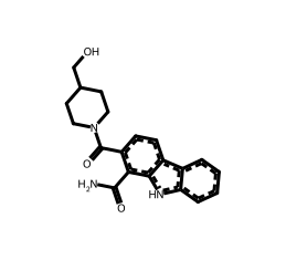 NC(=O)c1c(C(=O)N2CCC(CO)CC2)ccc2c1[nH]c1ccccc12